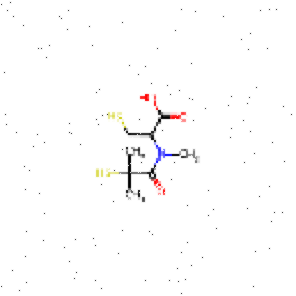 CN(C(=O)C(C)(C)S)C(CS)C(=O)O